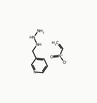 C=C[N+](=O)[O-].NNNCc1cccnc1